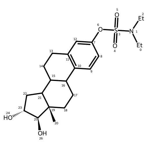 CCN(CC)S(=O)(=O)Oc1ccc2c(c1)CCC1C2CC[C@@]2(C)C1C[C@@H](O)[C@@H]2O